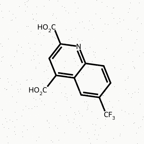 O=C(O)c1cc(C(=O)O)c2cc(C(F)(F)F)ccc2n1